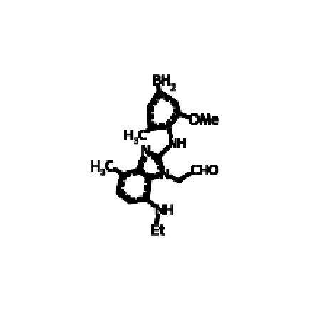 Bc1cc(C)c(Nc2nc3c(C)ccc(NCC)c3n2CC=O)c(OC)c1